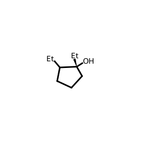 CCC1CCC[C@]1(O)CC